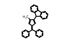 CC1=CC(=C(c2ccccc2)c2ccccc2)[C]=C1C1c2ccccc2-c2ccccc21